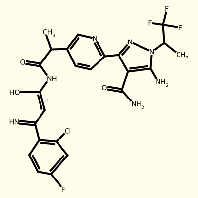 CC(C(=O)N/C(O)=C/C(=N)c1ccc(F)cc1Cl)c1ccc(-c2nn(C(C)C(F)(F)F)c(N)c2C(N)=O)nc1